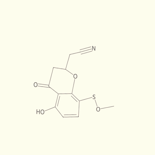 COSc1ccc(O)c2c1OC(CC#N)CC2=O